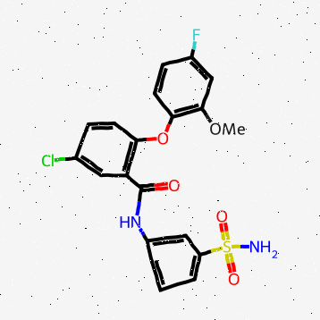 COc1cc(F)ccc1Oc1ccc(Cl)cc1C(=O)Nc1cccc(S(N)(=O)=O)c1